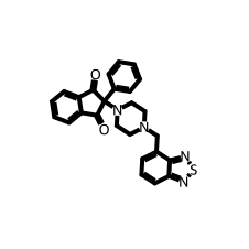 O=C1c2ccccc2C(=O)C1(c1ccccc1)N1CCN(Cc2cccc3nsnc23)CC1